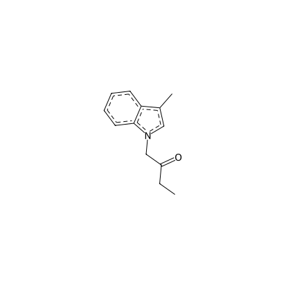 CCC(=O)Cn1cc(C)c2ccccc21